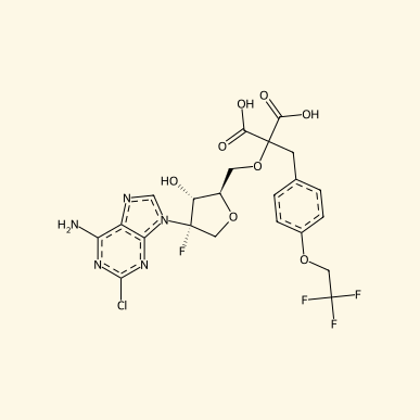 Nc1nc(Cl)nc2c1ncn2[C@]1(F)CO[C@H](COC(Cc2ccc(OCC(F)(F)F)cc2)(C(=O)O)C(=O)O)[C@H]1O